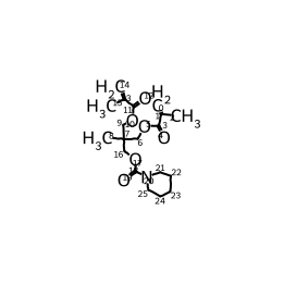 C=C(C)C(=O)OCC(C)(COC(=O)C(=C)C)COC(=O)N1CCCCC1